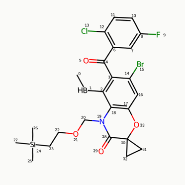 CBc1c(C(=O)c2cc(F)ccc2Cl)c(Br)cc2c1N(COCC[Si](C)(C)C)C(=O)C1(CC1)O2